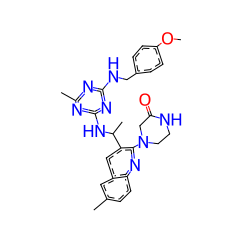 COc1ccc(CNc2nc(C)nc(NC(C)c3cc4cc(C)ccc4nc3N3CCNC(=O)C3)n2)cc1